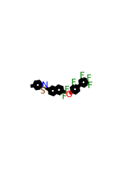 Cc1ccc2nc(-c3ccc4cc(C(F)(F)Oc5ccc(-c6cc(F)c(F)c(F)c6)c(F)c5)ccc4c3)sc2c1